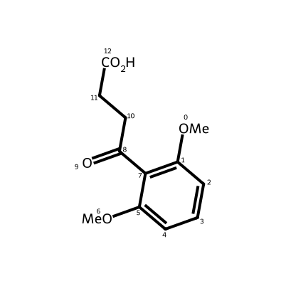 COc1cccc(OC)c1C(=O)CCC(=O)O